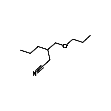 CC[CH2][Cr][CH2]C(CC#N)CCC